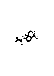 C=C(C)C(=O)OC1CCC2C(=O)OCCC12C